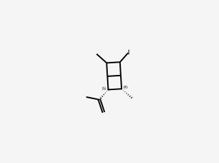 C=C(C)[C@@H]1C2C(C)C(I)C2[C@@H]1C